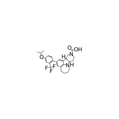 CC(C)Oc1ccc(-c2cc3c4c(c2)[C@@H]2CN(C(=O)O)CC[C@@H]2N4CCCC3)c(C(F)(F)F)c1